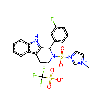 C[n+]1ccn(S(=O)(=O)N2CCc3c([nH]c4ccccc34)C2c2cccc(F)c2)c1.O=S(=O)([O-])C(F)(F)F